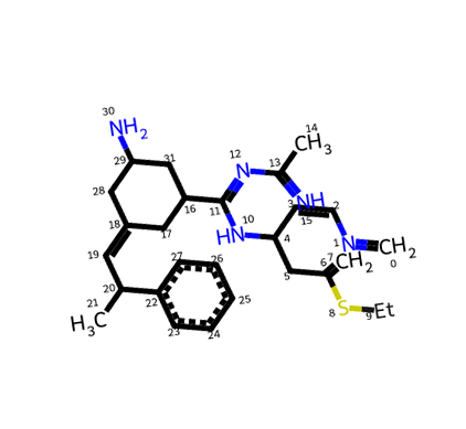 C=N/C=C\C(CC(=C)SCC)N/C(=N\C(C)=N)C1C/C(=C\C(C)c2ccccc2)CC(N)C1